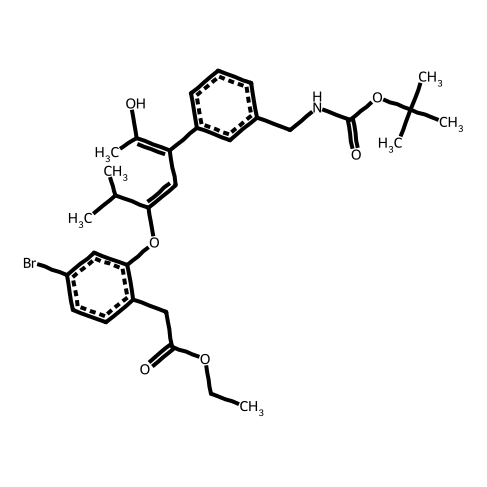 CCOC(=O)Cc1ccc(Br)cc1O/C(=C/C(=C(\C)O)c1cccc(CNC(=O)OC(C)(C)C)c1)C(C)C